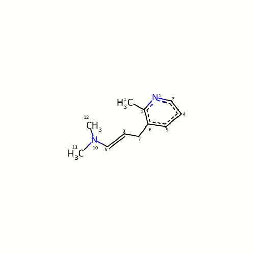 Cc1ncccc1CC=CN(C)C